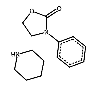 C1CCNCC1.O=C1OCCN1c1ccccc1